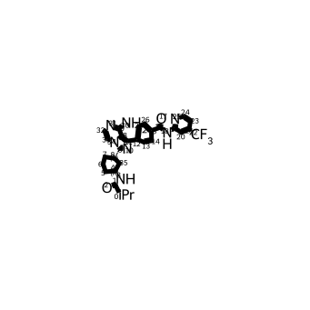 CC(C)C(=O)N[C@@H]1CCC[C@H](c2nc(-c3ccc(C(=O)Nc4cc(C(F)(F)F)ccn4)cc3)c3c(N)nccn23)C1